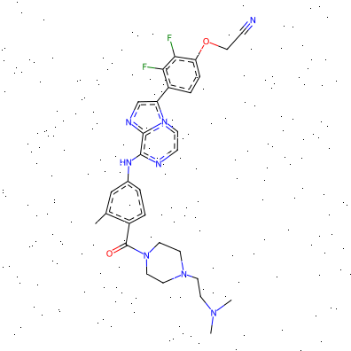 Cc1cc(Nc2nccn3c(-c4ccc(OCC#N)c(F)c4F)cnc23)ccc1C(=O)N1CCN(CCN(C)C)CC1